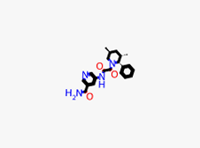 C[C@H]1C[C@H](C)[C@H](c2ccccc2)N(C(=O)C(=O)Nc2cncc(C(N)=O)c2)C1